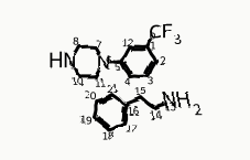 FC(F)(F)c1cccc(N2CCNCC2)c1.NCCc1ccccc1